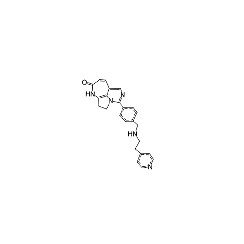 O=C1C=CC2=CN=C(c3ccc(CNCCc4ccncc4)cc3)N3CCC(=C23)N1